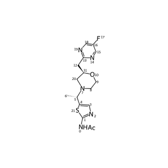 CC(=O)Nc1ncc([C@H](C)N2CCO[C@H](Cc3ncc(F)cn3)C2)s1